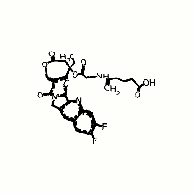 C=C(CCCC(=O)O)NCC(=O)O[C@@]1(CC)CC(=O)OCc2c1cc1n(c2=O)Cc2cc3cc(F)c(F)cc3nc2-1